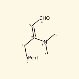 CCCCCC/C(=C/C=O)N(C)C